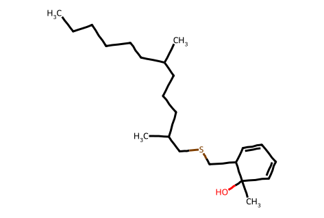 CCCCCCC(C)CCCC(C)CSCC1C=CC=CC1(C)O